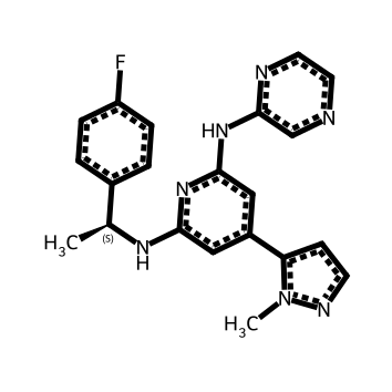 C[C@H](Nc1cc(-c2ccnn2C)cc(Nc2cnccn2)n1)c1ccc(F)cc1